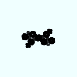 CC(C)(C)c1ccc2c(c1)B1C3=C(C=CC4c5cc6c(cc5N2C34)c2ccc3c4c2n6-c2ccc(C(C)(C)C)cc2B4c2ccccc2O3)Sc2ccccc21